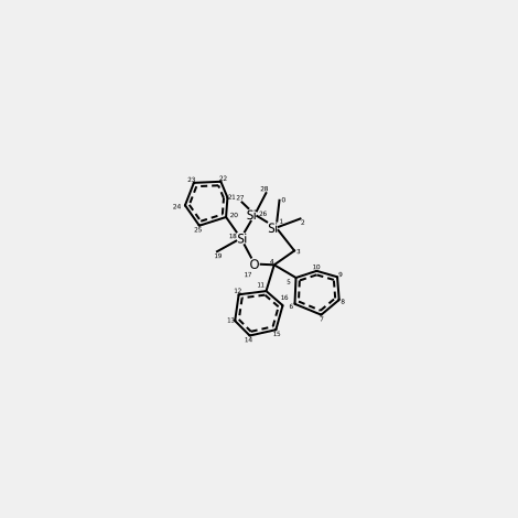 C[Si]1(C)CC(c2ccccc2)(c2ccccc2)O[Si](C)(c2ccccc2)[Si]1(C)C